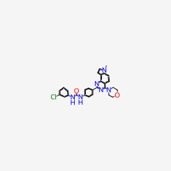 Cn1ccc2c3nc(-c4ccc(NC(=O)Nc5cccc(Cl)c5)cc4)nc(N4CCOCC4)c3ccc21